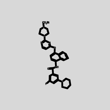 CCOC(=O)N1CCN(c2nccc(Oc3ccc(NC(=O)c4cc(F)cc(N5CCCCC5)c4)c4ccccc34)n2)CC1